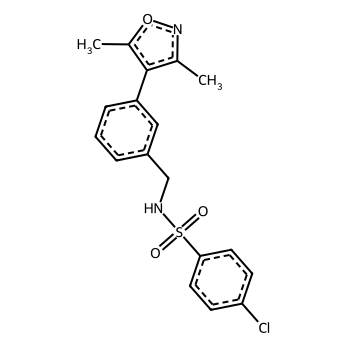 Cc1noc(C)c1-c1cccc(CNS(=O)(=O)c2ccc(Cl)cc2)c1